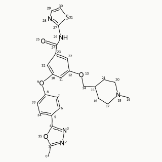 Cc1nnc(-c2ccc(Oc3cc(OCC4CCN(C)CC4)cc(C(=O)Nc4nccs4)c3)cc2)o1